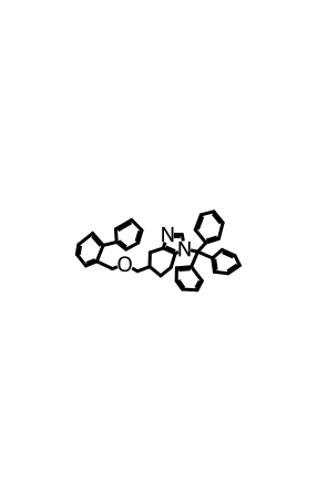 c1ccc(-c2ccccc2COCC2CCc3c(ncn3C(c3ccccc3)(c3ccccc3)c3ccccc3)C2)cc1